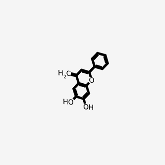 C=C1C=C(c2ccccc2)Oc2cc(O)c(O)cc21